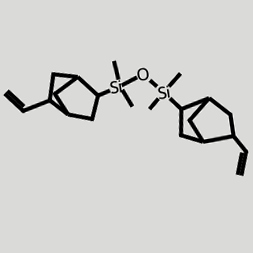 C=CC1CC2CC1CC2[Si](C)(C)O[Si](C)(C)C1CC2CC1CC2C=C